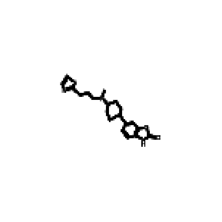 CN(CCCc1nccs1)C1CCC(c2ccc3[nH]c(=O)oc3c2)CC1